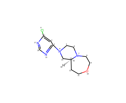 Clc1cc(N2CCN3CCOCC[C@H]3C2)ncn1